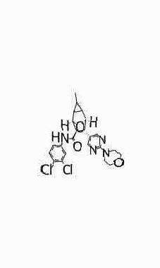 CC1C2C1[C@@H]1O[C@H]2[C@H](C(=O)Nc2ccc(Cl)c(Cl)c2)[C@H]1c1cnc(N2CCOCC2)nc1